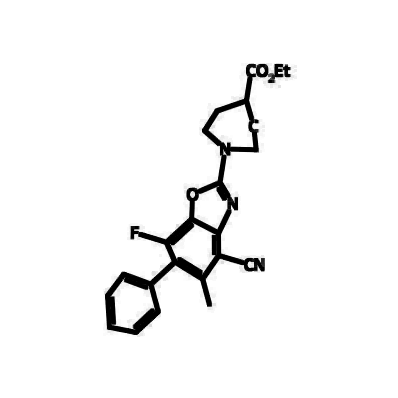 CCOC(=O)C1CCN(c2nc3c(C#N)c(C)c(-c4ccccc4)c(F)c3o2)CC1